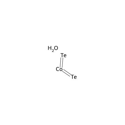 O.[Te]=[Co]=[Te]